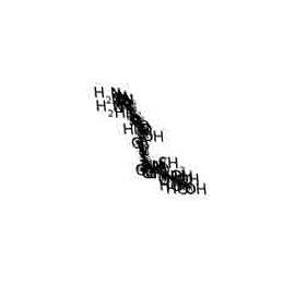 CC(=O)N[C@@H](CCC(=O)NC[C@H](O)[C@@H](O)[C@H](O)[C@H](O)CO)C(=O)N[C@@H](CSSCCOC(=O)CC[C@H](NC(=O)c1ccc(NCc2cnc3nc(N)nc(N)c3n2)cc1)C(=O)O)C(=O)O